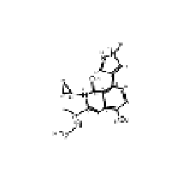 CC(NC(=O)O)c1cc2c(C(C)(C)C)ccc(-c3cnn(C)c3)c2c(=O)n1C1CC1